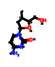 CC1CC(n2ccc(N)nc2=O)OC1CO